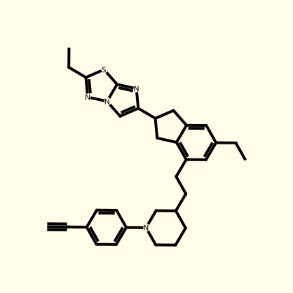 C#Cc1ccc(N2CCCC(CCc3cc(CC)cc4c3CC(c3cn5nc(CC)sc5n3)C4)C2)cc1